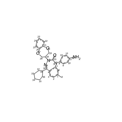 Cc1ccc2c(c1)N(c1ccc(N)cc1)C(=O)N(C1COc3ccccc3OC1)N=C2C1CCCCC1